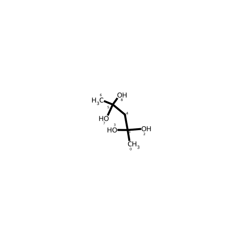 CC(O)(O)CC(C)(O)O